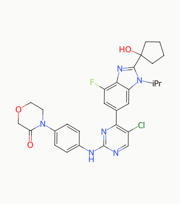 CC(C)n1c(C2(O)CCCC2)nc2c(F)cc(-c3nc(Nc4ccc(N5CCOCC5=O)cc4)ncc3Cl)cc21